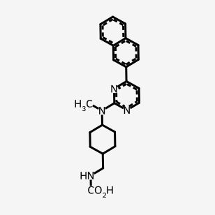 CN(c1nccc(-c2ccc3ccccc3c2)n1)C1CCC(CNC(=O)O)CC1